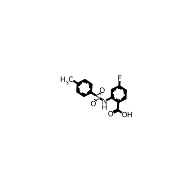 Cc1ccc(S(=O)(=O)Nc2cc(F)ccc2C(=O)O)cc1